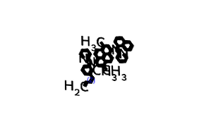 C=C/C=C\c1cccc(N(c2ccccn2)c2cc(C)c3ccc4c(N(c5ccccn5)C5CC=Cc6ccccc65)cc(C)c5ccc2c3c54)c1C